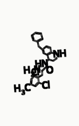 Cc1cc(Cl)c(C[C@H](N)C(=O)N[C@@H]2CCNc3ccc(Cc4ccccc4)cc32)c(Cl)c1